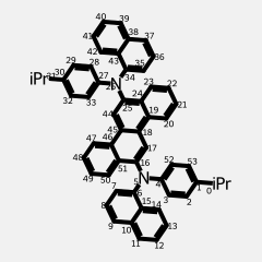 CC(C)c1ccc(N(c2cccc3ccccc23)c2cc3c4ccccc4c(N(c4ccc(C(C)C)cc4)c4cccc5ccccc45)cc3c3ccccc23)cc1